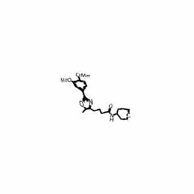 COc1ccc(-c2nc(CCCC(=O)NC3CCCCCC3)c(C)o2)cc1OC